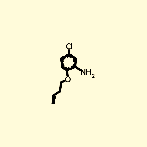 C=CCCOc1ccc(Cl)cc1N